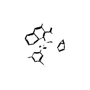 CCc1cc2ccccc2c(N(CC(=O)O)S(=O)(=O)c2cc(Cl)cc(Cl)c2)c1C(N)=O.c1cc2cc-2c1